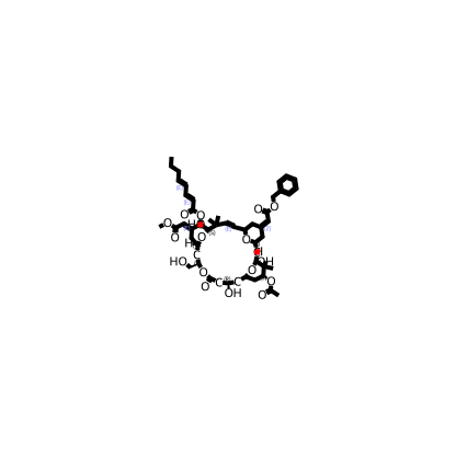 CCC/C=C/C=C/C(=O)OC1/C(=C/C(=O)OC)C[C@H]2C[C@H](CO)OC(=O)C[C@H](O)CC3C[C@H](OC(C)=O)C(C)(C)[C@](O)(C[C@@H]4C/C(=C/C(=O)OCc5ccccc5)CC(/C=C/C(C)(C)[C@]1(O)O2)O4)O3